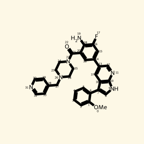 COc1ccccc1-c1c[nH]c2ncc(-c3cc(F)c(N)c(C(=O)N4CCN(Cc5ccncc5)CC4)c3)cc12